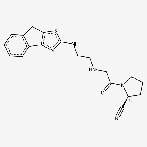 N#C[C@@H]1CCCN1C(=O)CNCCNc1nc2c(s1)Cc1ccccc1-2